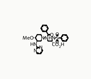 CO[C@@H]1CCN(N(C[C@H](NS(=O)(=O)c2ccccc2)C(=O)O)C(=O)c2ccccc2)C[C@H]1Nc1ncccn1